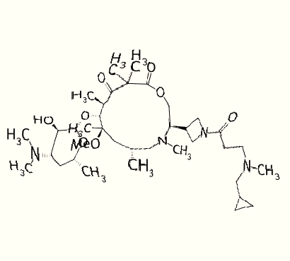 CO[C@]1(C)C[C@@H](C)CN(C)[C@H](C2CN(C(=O)CCN(C)CC3CC3)C2)COC(=O)C(C)(C)C(=O)[C@H](C)[C@H]1O[C@@H]1O[C@H](C)C[C@H](N(C)C)[C@H]1O